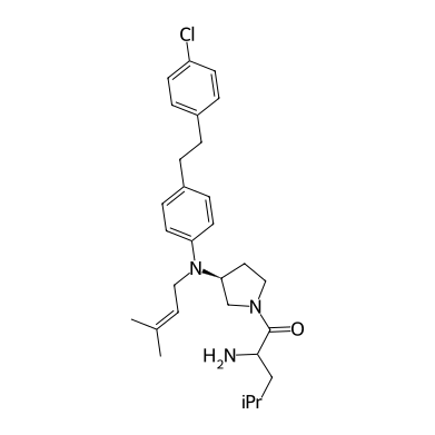 CC(C)=CCN(c1ccc(CCc2ccc(Cl)cc2)cc1)[C@H]1CCN(C(=O)C(N)CC(C)C)C1